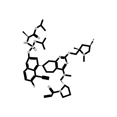 C#Cc1c(F)ccc2cc(OP(=O)(N[C@@H](C)C(=O)OC(C)C)OC(C)C)cc([C@H]3CCc4c(nc(OC[C@]5(C)C[C@@H](F)CN5C)nc4N(C)C[C@@H]4CCCN4C(=O)C=C)C3)c12